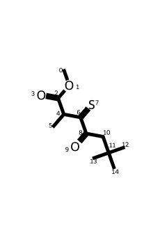 COC(=O)C(C)C(=S)C(=O)CC(C)(C)C